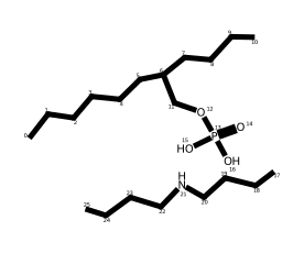 CCCCCCC(CCCC)COP(=O)(O)O.CCCCNCCCC